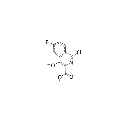 COC(=O)c1nc(Cl)c2ccc(F)cc2c1OC